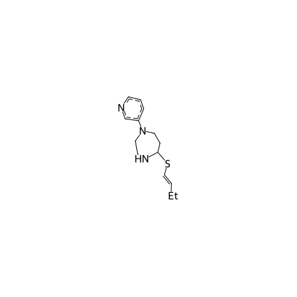 CCC=CSC1CCN(c2cccnc2)CCN1